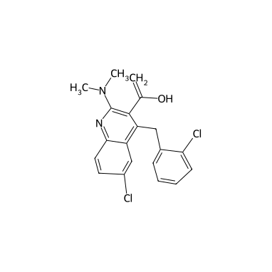 C=C(O)c1c(N(C)C)nc2ccc(Cl)cc2c1Cc1ccccc1Cl